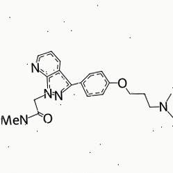 CNC(=O)Cn1nc(-c2ccc(OCCCN(C)C)cc2)c2cccnc21